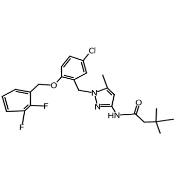 Cc1cc(NC(=O)CC(C)(C)C)nn1Cc1cc(Cl)ccc1OCc1cccc(F)c1F